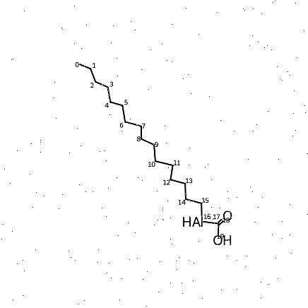 CCCCCCCCCCCCCCC[CH2][AlH][C](=O)O